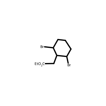 CCOC(=O)CC1C(Br)CCCC1Br